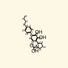 CCCCc1ccc(-c2ccc(C3CCCN3C(=O)O)c(O)c2O)cc1